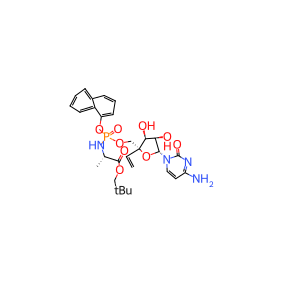 C=C[C@]1(COP(=O)(N[C@@H](C)C(=O)OCC(C)(C)C)Oc2cccc3ccccc23)O[C@@H](n2ccc(N)nc2=O)[C@H](O)[C@@H]1O